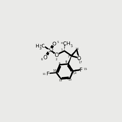 C[C@@H](OS(C)(=O)=O)[C@]1(c2cc(F)ccc2F)CO1